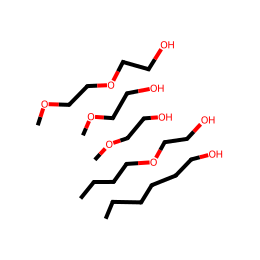 CCCCCCO.CCCCOCCO.COCCO.COCCO.COCCOCCO